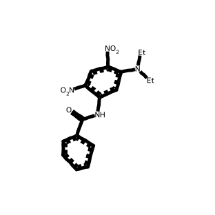 CCN(CC)c1cc(NC(=O)c2ccccc2)c([N+](=O)[O-])cc1[N+](=O)[O-]